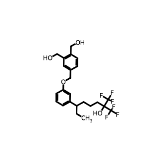 CCC(CCCC(O)(C(F)(F)F)C(F)(F)F)c1cccc(OCc2ccc(CO)c(CO)c2)c1